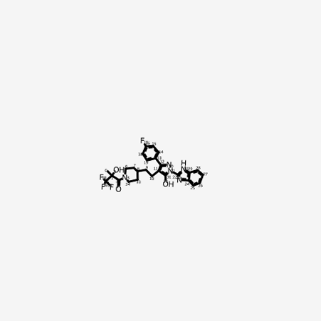 CC(O)(C(=O)N1CCC(CCc2c(-c3ccc(F)cc3)nn(-c3nc4ccccc4[nH]3)c2O)CC1)C(F)(F)F